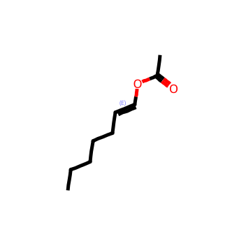 CCCCC/C=C/OC(C)=O